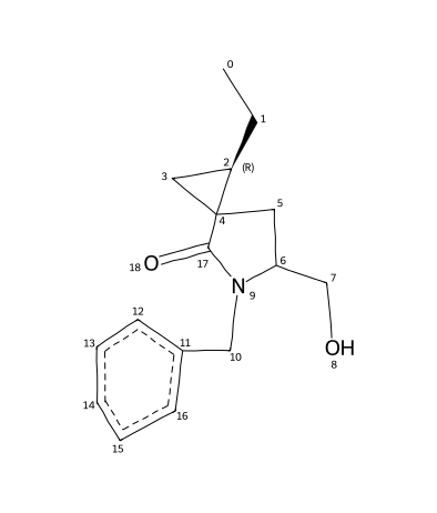 CC[C@@H]1CC12CC(CO)N(Cc1ccccc1)C2=O